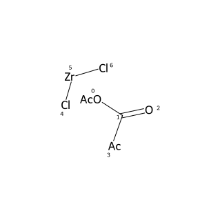 CC(=O)OC(=O)C(C)=O.[Cl][Zr][Cl]